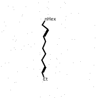 CCC=CCCCCC=CCCCCCCC